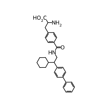 NC(Cc1ccc(C(=O)NCC(c2ccc(-c3ccccc3)cc2)C2CCCCC2)cc1)C(=O)O